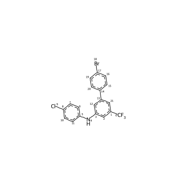 FC(F)(F)c1cc(Nc2ccc(Cl)cc2)cc(-c2ccc(Br)cc2)c1